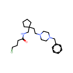 O=C(CCCCl)NCC1(CCN2CCN(Cc3ccccc3)CC2)CCCC1